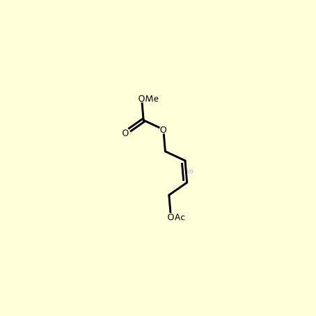 COC(=O)OC/C=C\COC(C)=O